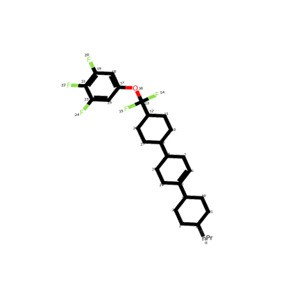 CCCC1CCC(C2=CCC(C3CCC(C(F)(F)Oc4cc(F)c(F)c(F)c4)CC3)CC2)CC1